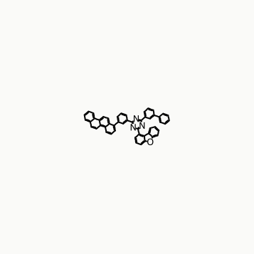 c1ccc(-c2cccc(-c3nc(-c4cccc(-c5cccc6c5ccc5c7ccccc7ccc65)c4)nc(-c4cccc5oc6ccccc6c45)n3)c2)cc1